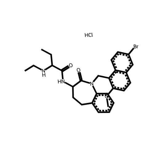 CCNC(CC)C(=O)NC1CCc2ccccc2N(Cc2c(OC)ccc3cc(Br)ccc23)C1=O.Cl